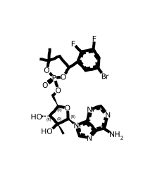 CC1(C)CC(c2cc(Br)cc(F)c2F)OP(=O)(OC[C@H]2O[C@@H](n3cnc4c(N)ncnc43)[C@](C)(O)[C@@H]2O)O1